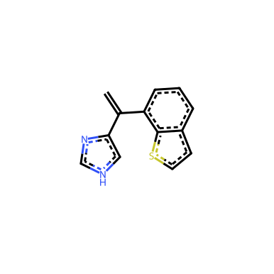 C=C(c1c[nH]cn1)c1cccc2ccsc12